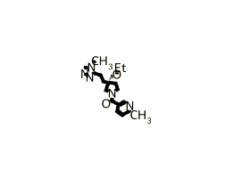 CCOC[C@]1(CCc2nncn2C)CCN(C(=O)c2ccc(C)nc2)C1